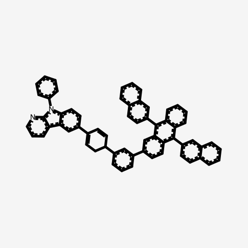 C1=CC(c2cccc(-c3ccc4c(-c5ccc6ccccc6c5)c5ccccc5c(-c5ccc6ccccc6c5)c4c3)c2)CC=C1c1ccc2c(c1)c1cccnc1n2-c1ccccc1